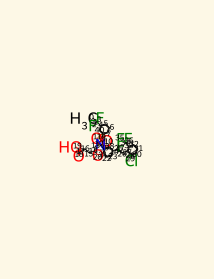 CC(F)(F)c1cccc(S(=O)(=O)N2CC(CCC(=O)O)Oc3ccc(C=Cc4c(Cl)cccc4C(F)(F)F)cc32)c1